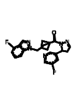 O=C(N1N=CCC1c1cncc(F)c1)C12CC(Cn3ncc4c(F)cccc43)(C1)C2